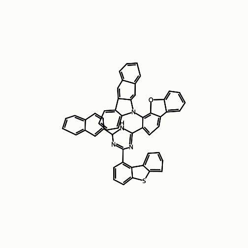 c1ccc2cc(C3N=C(c4cccc5sc6ccccc6c45)N=C(c4ccc5c(oc6ccccc65)c4-n4c5ccccc5c5cc6ccccc6cc54)N3)ccc2c1